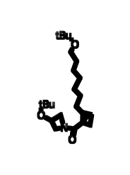 CC(C)(C)OCCCCCCCC1C2CC1(C(=O)N1CC(OC(C)(C)C)C1)C2